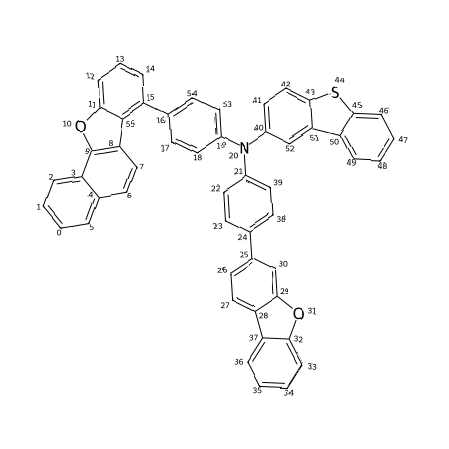 c1ccc2c(c1)ccc1c2oc2cccc(-c3ccc(N(c4ccc(-c5ccc6c(c5)oc5ccccc56)cc4)c4ccc5sc6ccccc6c5c4)cc3)c21